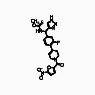 COC(=S)NC(c1ccc(C2=CCN(C(=O)c3ccc([N+](=O)[O-])o3)CC2)c(F)c1)c1c[nH]nn1